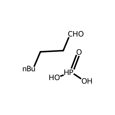 CCCCCCC=O.O=[PH](O)O